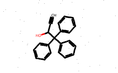 C#CC(O)C(c1ccccc1)(c1ccccc1)c1ccccc1